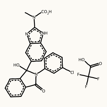 CN(C(=O)O)c1nc2cc(C3(O)c4ccccc4C(=O)N3c3cccc(Cl)c3)ccc2[nH]1.O=C(O)C(F)(F)F